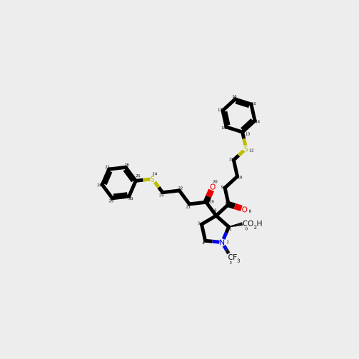 O=C(O)[C@H]1N(C(F)(F)F)CCC1(C(=O)CCCSc1ccccc1)C(=O)CCCSc1ccccc1